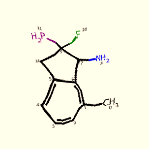 Cc1cccc2c1C(N)C(F)(P)C2